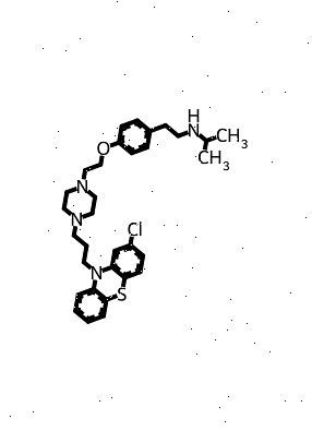 CC(C)NCCc1ccc(OCCN2CCN(CCCN3c4ccccc4Sc4ccc(Cl)cc43)CC2)cc1